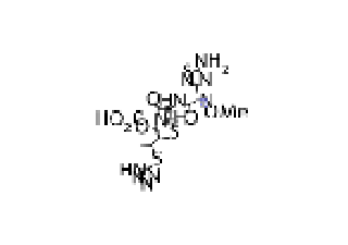 CO/N=C(\C(=O)N[C@@H]1C(=O)N2C(OC(=O)O)=C(C(C)Sc3nnn[nH]3)CS[C@@H]12)c1nsc(N)n1